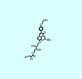 CCCCC(CC)CN1C(=O)C(c2ccc(OCCO)cc2)=CC2C=CC(OCCC(O)C(O)CCOC(=O)C(CC)CC(C)C)=CC21